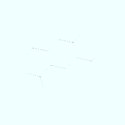 CCCCCC.CCCCCC(Cl)Cl.O